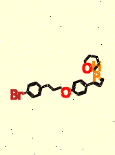 Brc1ccc(CCCOc2ccc(C3=CC=[PH]3C3CCCCO3)cc2)cc1